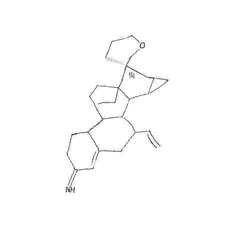 C=CC1CC2=CC(=N)CCC2C2CCC3(CC)C(C4CC4[C@@]34CCCO4)C12